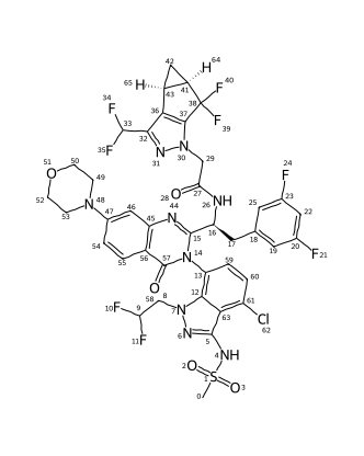 CS(=O)(=O)Nc1nn(CC(F)F)c2c(-n3c([C@H](Cc4cc(F)cc(F)c4)NC(=O)Cn4nc(C(F)F)c5c4C(F)(F)[C@@H]4C[C@H]54)nc4cc(N5CCOCC5)ccc4c3=O)ccc(Cl)c12